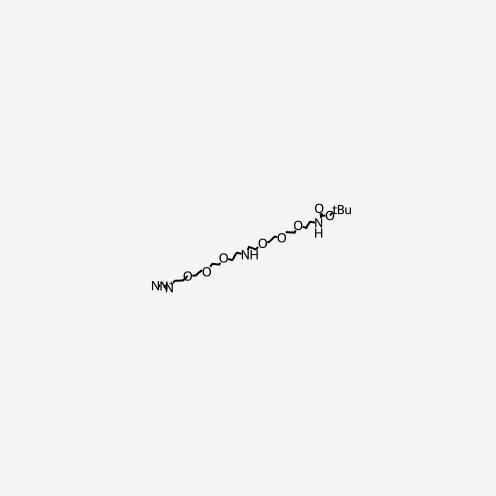 CC(C)(C)OC(=O)NCCOCCOCCOCCNCCOCCOCCOCCN=[N+]=[N-]